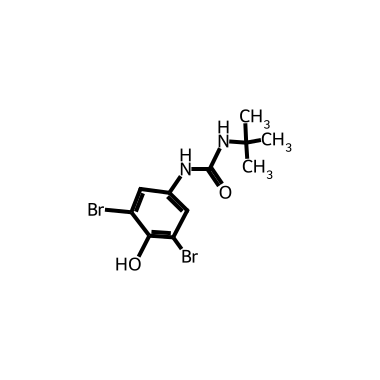 CC(C)(C)NC(=O)Nc1cc(Br)c(O)c(Br)c1